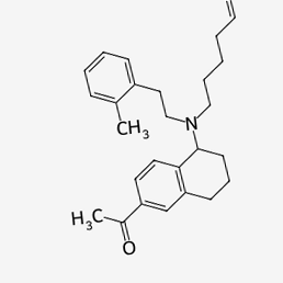 CC(=O)c1ccc2c(c1)CCCC2N(CCCCC=O)CCc1ccccc1C